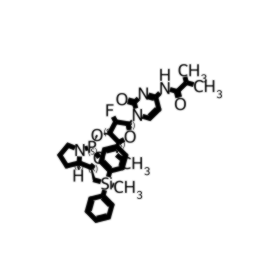 CC[C@H]1O[C@@H](n2ccc(NC(=O)C(C)C)nc2=O)C(F)[C@H]1O[P@]1O[C@@H](C[Si](C)(c2ccccc2)c2ccccc2)[C@H]2CCCN21